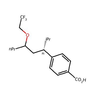 CCCC(C[C@@H](c1ccc(C(=O)O)cc1)C(C)C)OCC(F)(F)F